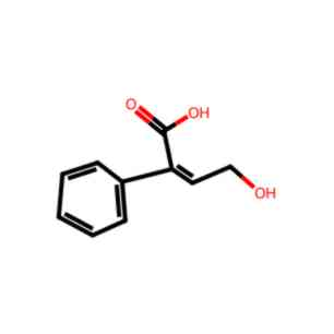 O=C(O)C(=CCO)c1ccccc1